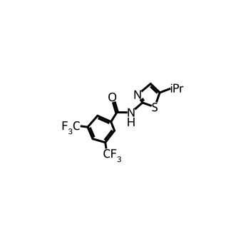 CC(C)c1cnc(NC(=O)c2cc(C(F)(F)F)cc(C(F)(F)F)c2)s1